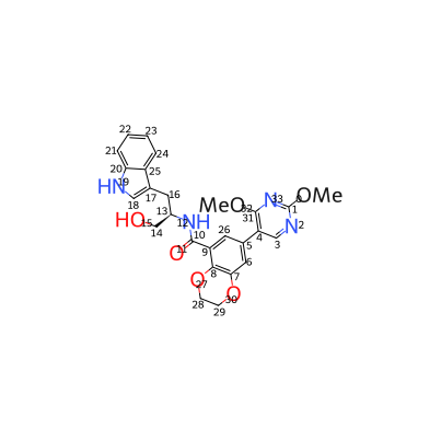 COc1ncc(-c2cc3c(c(C(=O)N[C@@H](CO)Cc4c[nH]c5ccccc45)c2)OCCO3)c(OC)n1